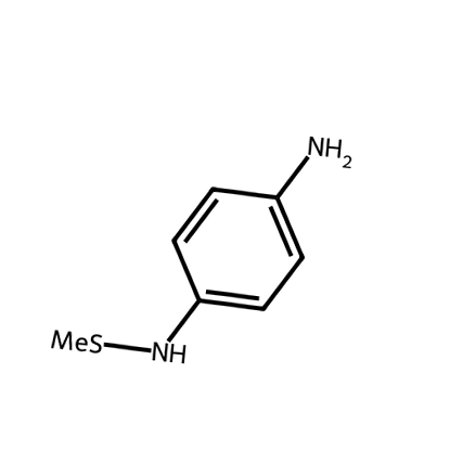 CSNc1ccc(N)cc1